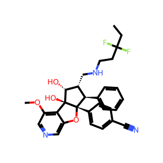 CCC(F)(F)CCNC[C@H]1[C@@H](O)[C@@]2(O)c3c(OC)cncc3O[C@@]2(c2ccc(C#N)cc2)[C@@H]1c1ccccc1